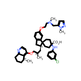 C[C@@H](COc1ccnc2c1[C@H](C)CCC2)C[C@H]1Cc2ccc(OCCN(C)Cc3ccnn3C)cc2C12CCC(Nc1cccc(Cl)c1)(C(=O)O)CC2